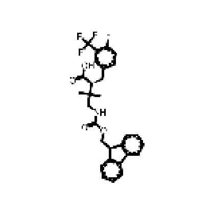 CC(C)(CNC(=O)OCC1c2ccccc2-c2ccccc21)[C@H](Cc1ccc(F)c(C(F)(F)F)c1)C(=O)O